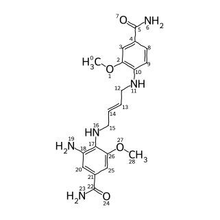 COc1cc(C(N)=O)ccc1NC/C=C/CNc1c(N)cc(C(N)=O)cc1OC